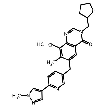 Cc1c(Cc2ccc(-c3cnn(C)c3)nc2)cc2c(=O)n(CC3CCCO3)cnc2c1Cl.Cl